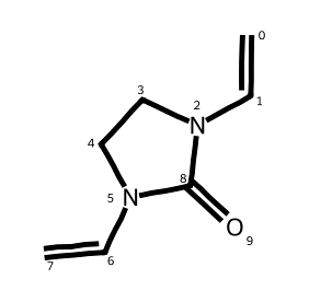 C=CN1CCN(C=C)C1=O